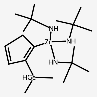 [CH3][GeH]([CH3])[C]1=[C]([Zr]([NH]C(C)(C)C)([NH]C(C)(C)C)[NH]C(C)(C)C)CC=C1